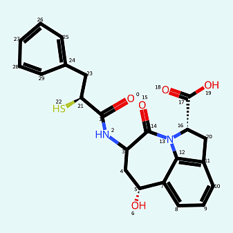 O=C(NC1C[C@@H](O)c2cccc3c2N(C1=O)[C@H](C(=O)O)C3)[C@@H](S)Cc1ccccc1